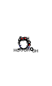 CO[C@H]1C[C@@H](C)C/C(C)=C/[C@@H](CCO)C(=O)C[C@H](O)[C@@H](C)[C@@H](/C(C)=C/[C@H]2CC[C@H](O)CC2)OC(=O)[C@@H]2CCCCN2C(=O)C(=O)[C@]2(O)O[C@H]1[C@@H](OC)C[C@H]2C